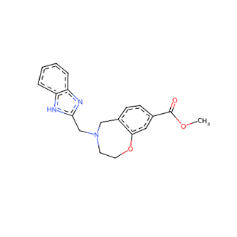 COC(=O)c1ccc2c(c1)OCCN(Cc1nc3ccccc3[nH]1)C2